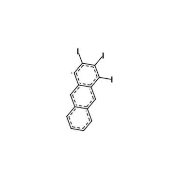 Ic1[c]c2cc3ccccc3cc2c(I)c1I